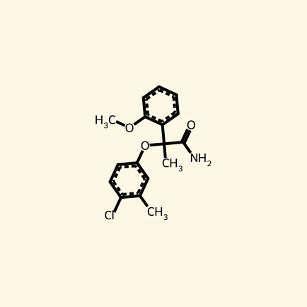 COc1ccccc1C(C)(Oc1ccc(Cl)c(C)c1)C(N)=O